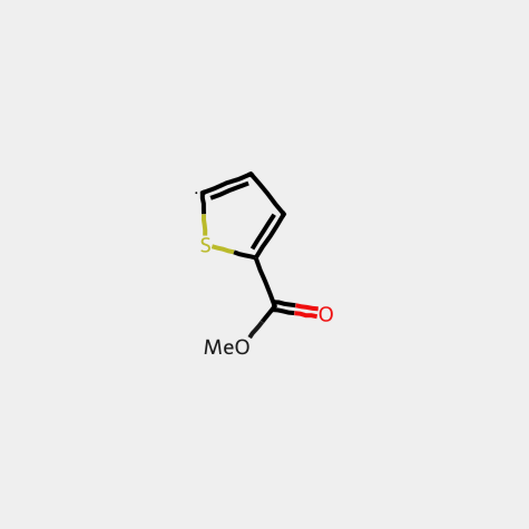 COC(=O)c1cc[c]s1